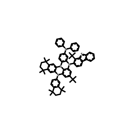 CC(C)(C)c1cc2c3c(c1)N(c1ccc4c(sc5ccccc54)c1C(C)(C)C)c1cc(N(c4ccccc4)c4ccccc4)ccc1B3c1cc3c(cc1N2c1ccc2c(c1)C(C)(C)CCC2(C)C)C(C)(C)CCC3(C)C